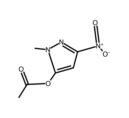 CC(=O)Oc1cc([N+](=O)[O-])nn1C